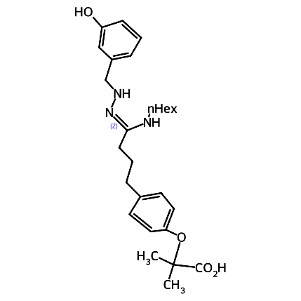 CCCCCCN/C(CCCc1ccc(OC(C)(C)C(=O)O)cc1)=N\NCc1cccc(O)c1